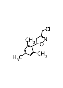 Cc1cc(C)c(C2CC(CCl)=NO2)c(C)c1